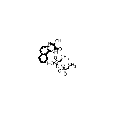 CCS(=O)(=O)O.CCS(=O)(=O)[O-].Cc1n[n+]2ccc3ccccc3c2[nH]c1=O